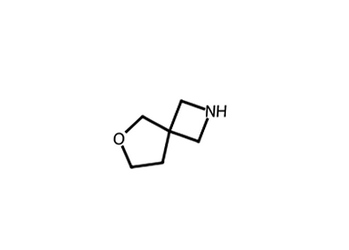 C1CC2(CNC2)CO1